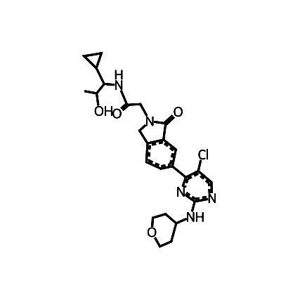 CC(O)C(NC(=O)CN1Cc2ccc(-c3nc(NC4CCOCC4)ncc3Cl)cc2C1=O)C1CC1